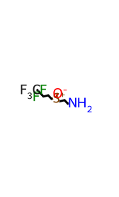 NCCC[S+]([O-])CCCC(F)(F)C(F)(F)F